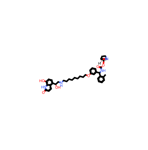 Cc1ccccc1C(NC(=O)O[C@H]1CN2CCC1CC2)c1cccc(OCCCCCCCCCNC[C@@H](O)c2ccc(O)c3[nH]c(=O)ccc23)c1